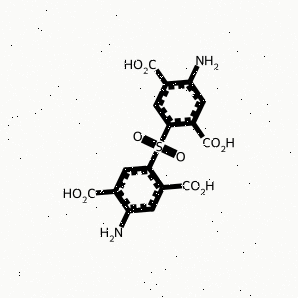 Nc1cc(C(=O)O)c(S(=O)(=O)c2cc(C(=O)O)c(N)cc2C(=O)O)cc1C(=O)O